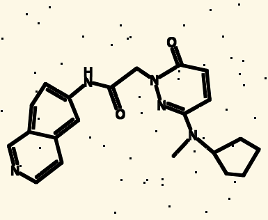 CN(c1ccc(=O)n(CC(=O)Nc2ccc3cnccc3c2)n1)C1CCCC1